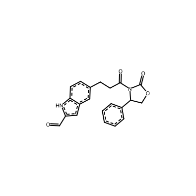 O=Cc1cc2cc(CCC(=O)N3C(=O)OCC3c3ccccc3)ccc2[nH]1